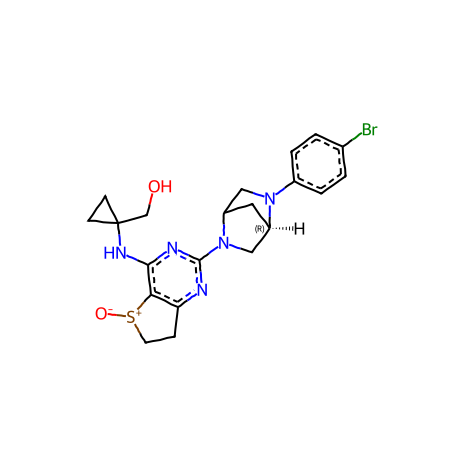 [O-][S+]1CCc2nc(N3C[C@H]4CC3CN4c3ccc(Br)cc3)nc(NC3(CO)CC3)c21